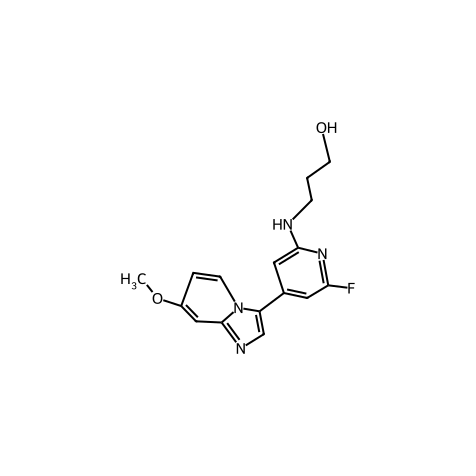 COc1ccn2c(-c3cc(F)nc(NCCCO)c3)cnc2c1